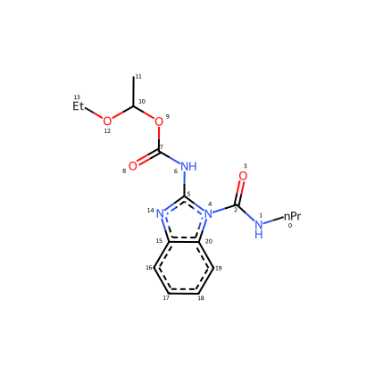 CCCNC(=O)n1c(NC(=O)OC(C)OCC)nc2ccccc21